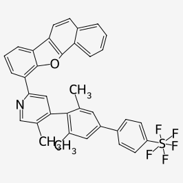 Cc1cnc(-c2cccc3c2oc2c4ccccc4ccc32)cc1-c1c(C)cc(-c2ccc(S(F)(F)(F)(F)F)cc2)cc1C